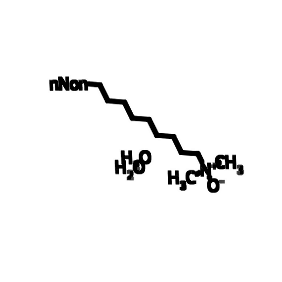 CCCCCCCCCCCCCCCCCC[N+](C)(C)[O-].O.O